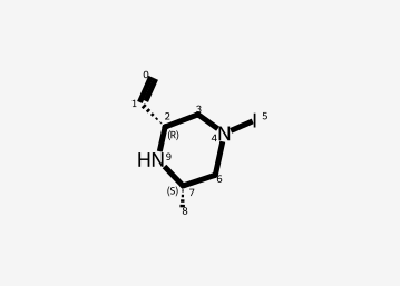 C=C[C@@H]1CN(I)C[C@H](C)N1